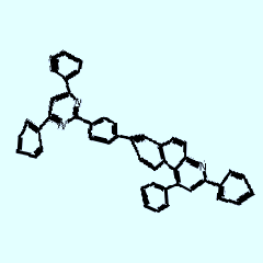 c1ccc(-c2cc(-c3ccccc3)nc(-c3ccc(-c4ccc5c(ccc6nc(-c7ccccc7)cc(-c7ccccc7)c65)c4)cc3)n2)cc1